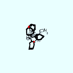 CC1(C)[C@@H]2CC[C@@]1(C)[C@@H](c1ccccn1)[C@@H]2P(=O)(C1CCCCC1)C1CCCCC1